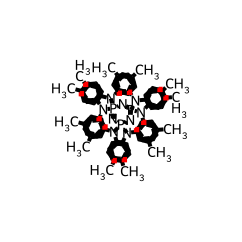 Cc1ccc(N(c2ccc(C)cc2)P2(N(c3ccc(C)cc3)c3ccc(C)cc3)=NP(N(c3ccc(C)cc3)c3ccc(C)cc3)(N(c3ccc(C)cc3)c3ccc(C)cc3)=NP(N(c3ccc(C)cc3)c3ccc(C)cc3)(N(c3ccc(C)cc3)c3ccc(C)cc3)=N2)cc1